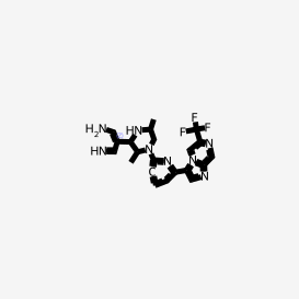 CC1CN(c2cccc(-c3cnc4cnc(C(F)(F)F)cn34)n2)C(C)C(/C(C=N)=C/N)N1